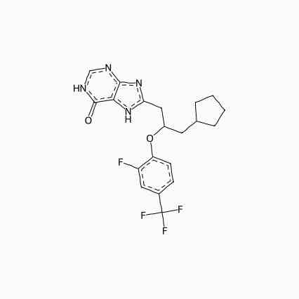 O=c1[nH]cnc2nc(CC(CC3CCCC3)Oc3ccc(C(F)(F)F)cc3F)[nH]c12